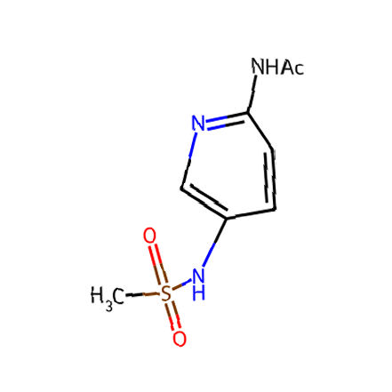 CC(=O)Nc1ccc(NS(C)(=O)=O)cn1